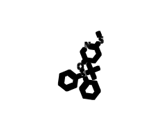 CSC1=NCC(O[Si](c2ccccc2)(c2ccccc2)C(C)(C)C)CC1